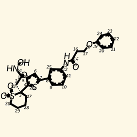 O=C(C[C@]1(c2ccc(-c3cccc(NC(=O)CCOc4ccccc4)c3)s2)CCCCS1(=O)=O)NO